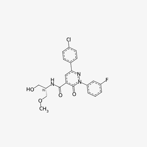 COC[C@H](CO)NC(=O)c1cc(-c2ccc(Cl)cc2)nn(-c2cccc(F)c2)c1=O